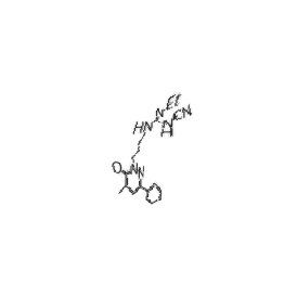 CCN=C(NC#N)NCCCCn1nc(-c2ccccc2)cc(C)c1=O